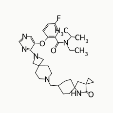 CCN(C(=O)c1cc(F)ccc1Oc1cncnc1N1CC2(CCN(CC3CCC4(CC3)CC3(CC3)C(=O)N4)CC2)C1)C(C)C